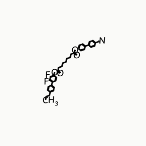 CCCc1ccc(-c2ccc(OC(=O)CCCCCCCC(=O)Oc3ccc(-c4ccc(C#N)cc4)cc3)c(F)c2F)cc1